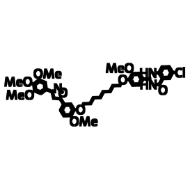 COc1cc(C2NC(=O)c3cc(Cl)ccc3N2)ccc1OCCCCCCCCOc1cc(C2CC(c3cc(OC)c(OC)c(OC)c3)=NO2)ccc1OC